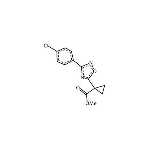 COC(=O)C1(c2nc(-c3ccc(Cl)cc3)no2)CC1